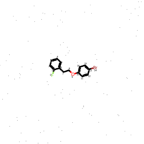 Fc1ccccc1CCOc1ccc(Br)cc1